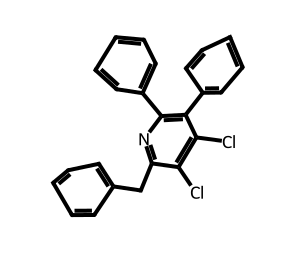 Clc1c(Cc2ccccc2)nc(-c2ccccc2)c(-c2ccccc2)c1Cl